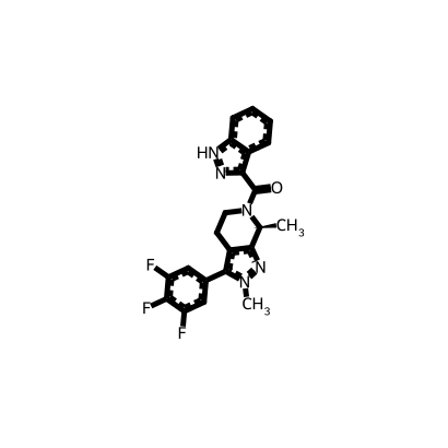 C[C@H]1c2nn(C)c(-c3cc(F)c(F)c(F)c3)c2CCN1C(=O)c1n[nH]c2ccccc12